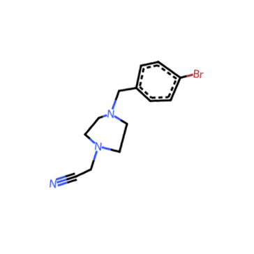 N#CCN1CCN(Cc2ccc(Br)cc2)CC1